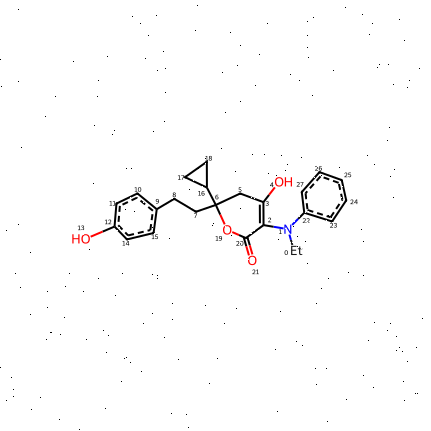 CCN(C1=C(O)CC(CCc2ccc(O)cc2)(C2CC2)OC1=O)c1ccccc1